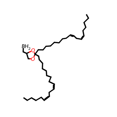 BCC1COC(CCCCCCCC/C=C\C/C=C\CCCCC)(CCCCCCCC/C=C\C/C=C\CCCCC)O1